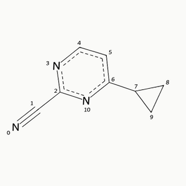 N#Cc1nccc(C2CC2)n1